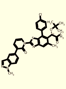 CC(=O)[C@@H](OC(C)(C)C)c1c(C)cc2nc(-n3cccc(-c4ccc5c(cnn5C)c4)c3=O)sc2c1-c1ccc(Cl)cc1